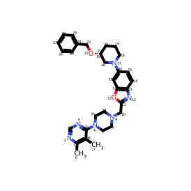 Cc1ncnc(N2CCN(Cc3nc4ccc(N5CCC[C@@H](OCc6ccccc6)C5)cc4o3)CC2)c1C